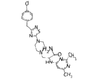 Cc1cc(NC(CN2CCN(c3nc(Cc4ccc(Cl)cc4)ns3)CC2)C(N)=O)nc(C)n1